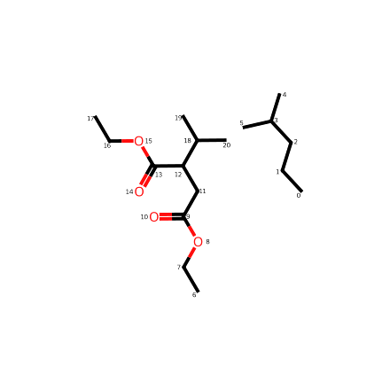 CCCC(C)C.CCOC(=O)CC(C(=O)OCC)C(C)C